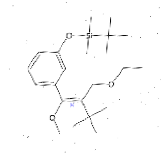 CCOC/C(=C(/OC)c1cccc(O[Si](C)(C)C(C)(C)C)c1)C(C)(C)C